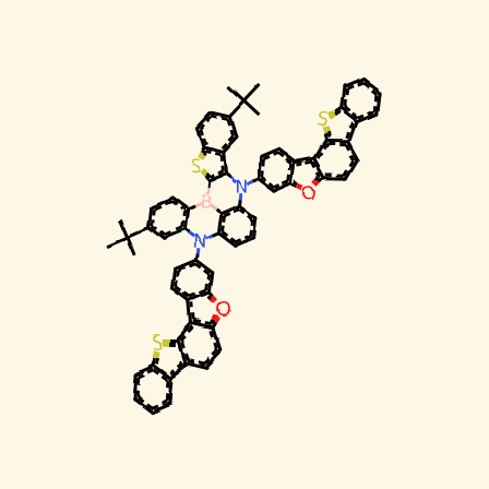 CC(C)(C)c1ccc2c(c1)N(c1ccc3c(c1)oc1ccc4c5ccccc5sc4c13)c1cccc3c1B2c1sc2ccc(C(C)(C)C)cc2c1N3c1ccc2c(c1)oc1ccc3c4ccccc4sc3c12